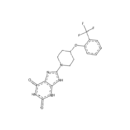 O=c1[nH]c(=O)c2nc(N3CCC(Oc4ccccc4C(F)(F)F)CC3)[nH]c2[nH]1